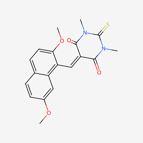 COc1ccc2ccc(OC)c(C=C3C(=O)N(C)C(=S)N(C)C3=O)c2c1